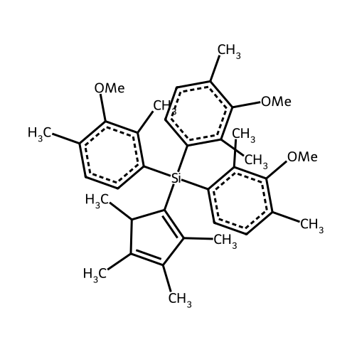 COc1c(C)ccc([Si](C2=C(C)C(C)=C(C)C2C)(c2ccc(C)c(OC)c2C)c2ccc(C)c(OC)c2C)c1C